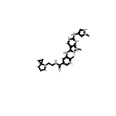 Cc1ncc(C(=O)NCCN2CCCC23CC3)cc1Nc1nn(C)c2nc(Nc3cnn(C)c3)ncc12